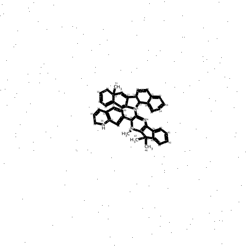 CN1C2=C(N=C(N3C4=CC5=CC=CCC5(C)C=C4C4C=Cc5ccccc5C43)C1c1ccc3c(c1)NCC=C3)c1ccccc1C2(C)C